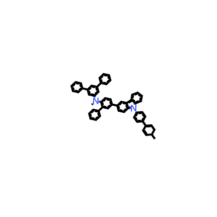 CC1C=CC(c2ccc(-n3c4ccccc4c4cc(-c5ccc(N(C)c6cc(-c7ccccc7)cc(-c7ccccc7)c6)c(-c6ccccc6)c5)ccc43)cc2)=CC1